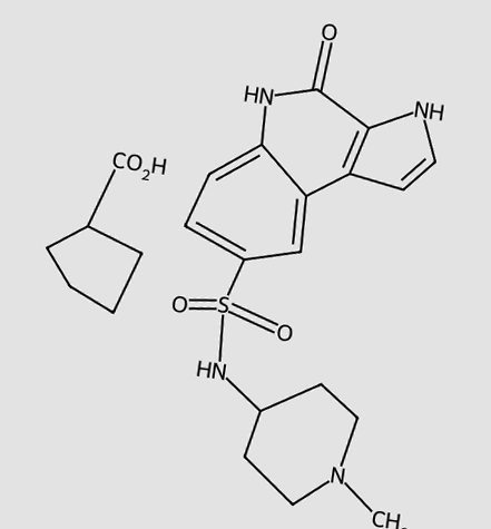 CN1CCC(NS(=O)(=O)c2ccc3[nH]c(=O)c4[nH]ccc4c3c2)CC1.O=C(O)C1CCCC1